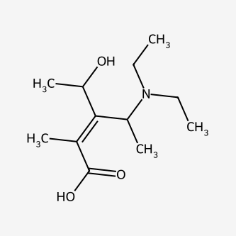 CCN(CC)C(C)C(=C(C)C(=O)O)C(C)O